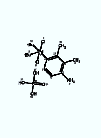 Cc1c(N)cc[c]([Pd]([Cl])([Cl])([C](C)(C)C)[C](C)(C)C)c1C.O=P(O)(O)O